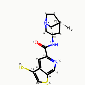 O=C(N[C@@H]1C[C@@H]2CCN(C2)C1)c1cc2c(S)csc2cn1